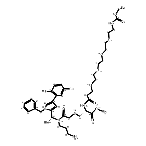 CC(C)(C)OC(=O)NCCOCCOCCOCCOCCC(=O)N[C@@H](CSCC(=O)N(CCCN)[C@@H](c1cc(-c2cc(F)ccc2F)cn1Cc1ccccc1)C(C)(C)C)C(=O)OC(C)(C)C